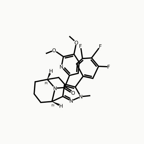 COc1ccc(C(=O)N2[C@@H]3CCC[C@H]2c2nn(C)c(-c4cc(F)c(F)c(F)c4)c2C3)nc1OC